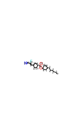 CCCCCC[C@H]1CC[C@H](OC(=O)[C@H]2CC[C@H](C=C(F)C#N)CC2)CC1